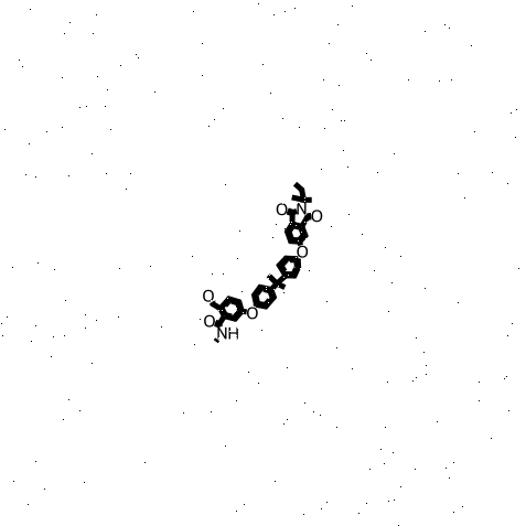 CCC(C)(C)N1C(=O)c2ccc(Oc3ccc(C(C)(C)c4ccc(Oc5ccc(C=O)c(C(=O)NC)c5)cc4)cc3)cc2C1=O